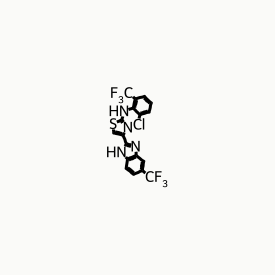 FC(F)(F)c1ccc2[nH]c(-c3csc(Nc4c(Cl)cccc4C(F)(F)F)n3)nc2c1